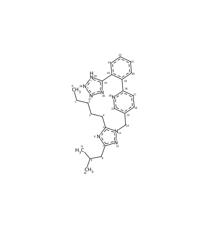 CCCCCc1nc(CC(C)C)nn1Cc1ccc(-c2ccccc2-c2nnn[nH]2)nc1